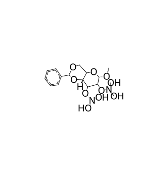 CO[C@H]1OC2COC(c3ccccc3)O[C@H]2C(ON(O)O)C1ON(O)O